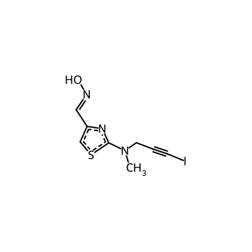 CN(CC#CI)c1nc(C=NO)cs1